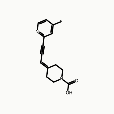 O=C(O)N1CCC(=CC#Cc2cc(F)ccn2)CC1